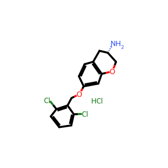 Cl.N[C@@H]1COc2cc(OCc3c(Cl)cccc3Cl)ccc2C1